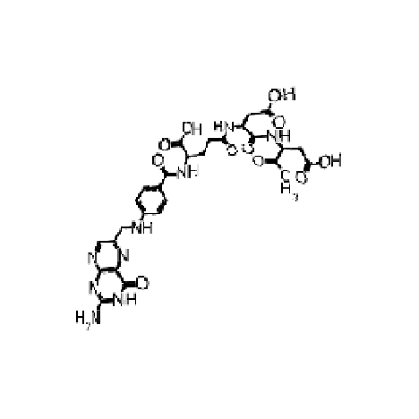 CC(=O)[C@H](CC(=O)O)NC(=O)C(CC(=O)O)NC(=O)CCC(NC(=O)c1ccc(NCc2cnc3nc(N)[nH]c(=O)c3n2)cc1)C(=O)O